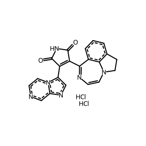 Cl.Cl.O=C1NC(=O)C(c2cnc3cnccn23)=C1C1=NC=CN2CCc3cccc1c32